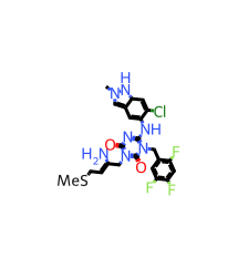 CSC/C=C(\N)Cn1c(=O)nc(NC2=CC3=CN(C)NC3C=C2Cl)n(Cc2cc(F)c(F)cc2F)c1=O